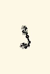 COC(=O)NC(C(=O)N1CCCC1c1ncc(-c2ccc(C#Cc3ccc(-c4cnc(C5CCCN5C(=O)[C@@H](NC(=O)OC)C(C)C)[nH]4)s3)cc2)[nH]1)C(C)C